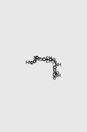 CC(C)(c1ccc(OCc2ccnc(N3CCC4(CCNC4)C3)n2)cc1)c1ccc(OC2CC(Nc3ccc4c(c3)CN(C3CCC(=O)NC3=O)C4)C2)cc1